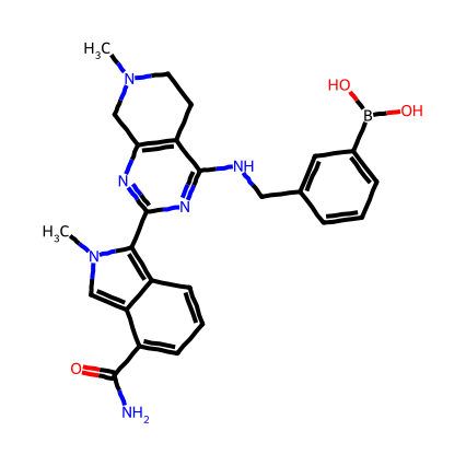 CN1CCc2c(nc(-c3c4cccc(C(N)=O)c4cn3C)nc2NCc2cccc(B(O)O)c2)C1